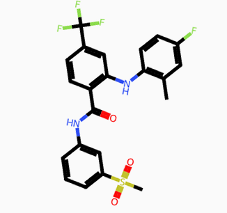 Cc1cc(F)ccc1Nc1cc(C(F)(F)F)ccc1C(=O)Nc1cccc(S(C)(=O)=O)c1